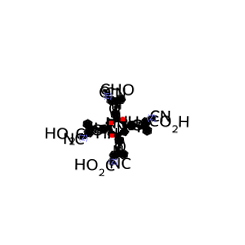 [C-]#[N+]/C(=C\c1ccc2c(c1)c1ccccc1n2COc1ccc(-c2c3nc(c(-c4ccc(OCn5c6ccccc6c6cc(/C=C(/C#N)C(=O)O)ccc65)cc4)c4ccc([nH]4)c(-c4ccc(OCn5c6ccccc6c6cc(/C=C(\C#N)OC=O)ccc65)cc4)c4nc(c(-c5ccc(OCn6c7ccccc7c7cc(/C=C(/C#N)C(=O)O)ccc76)cc5)c5ccc2[nH]5)C=C4)C=C3)cc1)C(=O)O